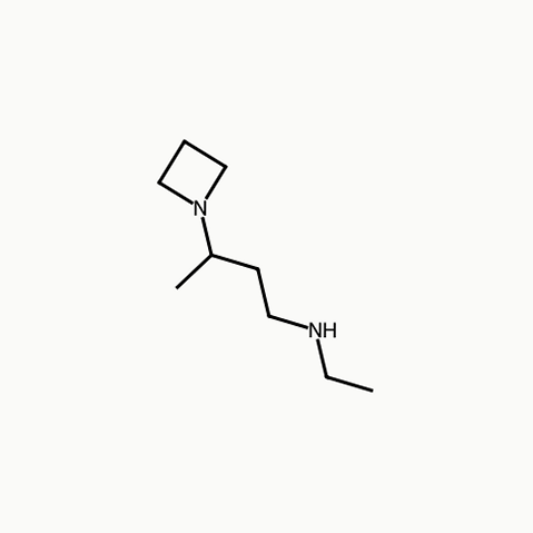 CCNCCC(C)N1CCC1